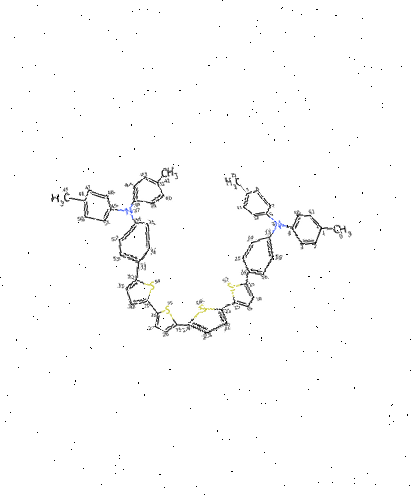 Cc1ccc(N(c2ccc(C)cc2)c2ccc(-c3ccc(-c4ccc(-c5ccc(-c6ccc(-c7ccc(N(c8ccc(C)cc8)c8ccc(C)cc8)cc7)s6)s5)s4)s3)cc2)cc1